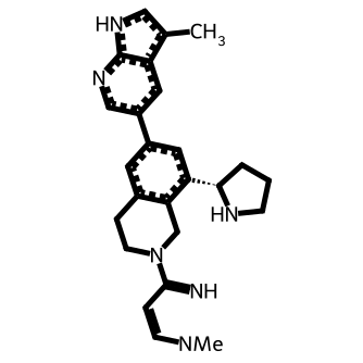 CN/C=C\C(=N)N1CCc2cc(-c3cnc4[nH]cc(C)c4c3)cc([C@@H]3CCCN3)c2C1